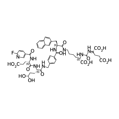 O=C(O)CC[C@H](NC(=O)N[C@@H](CCCCNC(=O)[C@H](Cc1ccc2ccccc2c1)NC(=O)c1ccc(CNC(=O)[C@H](CCC(O)O)NC(=O)[C@H](CCC(=O)O)NC(=O)c2ccc(F)nc2)cc1)C(=O)O)C(=O)O